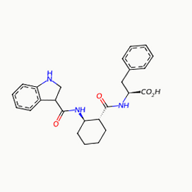 O=C(N[C@@H]1CCCC[C@H]1C(=O)N[C@@H](Cc1ccccc1)C(=O)O)C1CNc2ccccc21